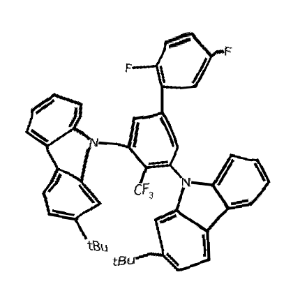 CC(C)(C)c1ccc2c3ccccc3n(-c3cc(-c4cc(F)ccc4F)cc(-n4c5ccccc5c5ccc(C(C)(C)C)cc54)c3C(F)(F)F)c2c1